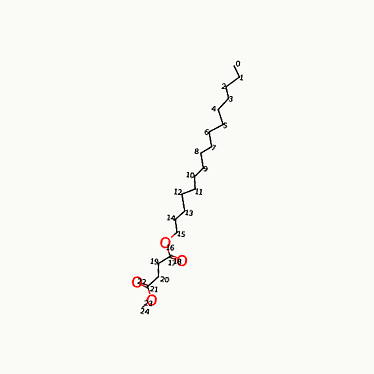 CCCCCCCCCCCCCCCCOC(=O)CCC(=O)OC